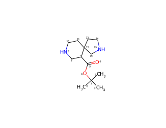 CC(C)(C)OC(=O)C1CNCCC12CCNC2